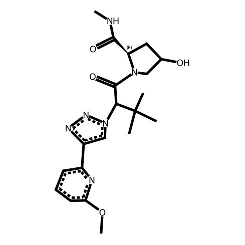 CNC(=O)[C@H]1CC(O)CN1C(=O)C(n1cc(-c2cccc(OC)n2)nn1)C(C)(C)C